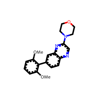 COc1cccc(OC)c1-c1ccc2ncc(N3CCOCC3)nc2c1